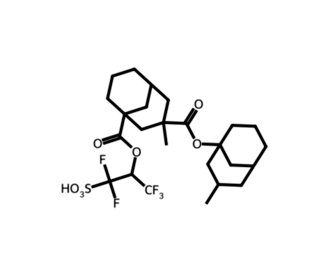 CC1CC2CCCC(OC(=O)C3(C)CC4CCCC(C(=O)OC(C(F)(F)F)C(F)(F)S(=O)(=O)O)(C4)C3)(C1)C2